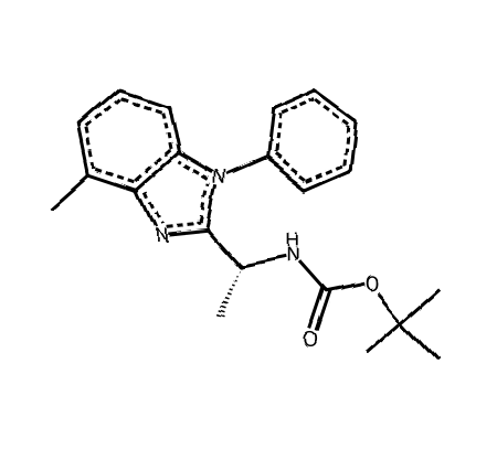 Cc1cccc2c1nc([C@@H](C)NC(=O)OC(C)(C)C)n2-c1ccccc1